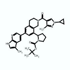 Cc1nn(C2CC2)cc1C(=O)N1CCc2cc(-c3cnc4[nH]cc(C)c4c3)cc(C3CCCN3C(=O)OC(C)(C)C)c2C1